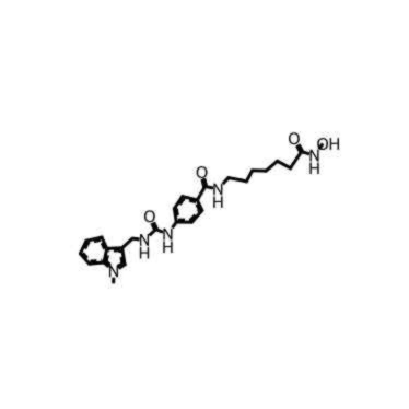 Cn1cc(CNC(=O)Nc2ccc(C(=O)NCCCCCCC(=O)NO)cc2)c2ccccc21